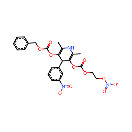 CC1=C(OC(=O)OCCO[N+](=O)[O-])C(c2cccc([N+](=O)[O-])c2)C(OC(=O)OCc2ccccc2)=C(C)N1